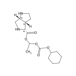 CC(OC(=O)OC1CCCCC1)OC(=O)[C@@H]1NC[C@@H]2NCC[C@@H]21